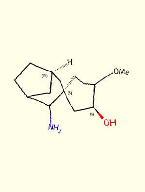 COC1C[C@]2(C[C@@H]1O)C(N)C1CC[C@@H]2C1